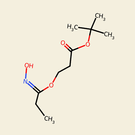 CCC(=NO)OCCC(=O)OC(C)(C)C